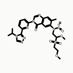 COCCS(=O)(=O)C(CN(c1cc2c(=O)n(-c3cccc(-c4nncn4C(C)C)n3)cnc2cc1C)[SH](=O)=O)OC